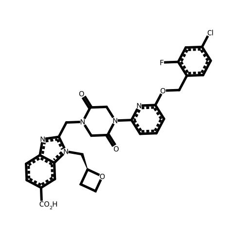 O=C(O)c1ccc2nc(CN3CC(=O)N(c4cccc(OCc5ccc(Cl)cc5F)n4)CC3=O)n(C[C@@H]3CCO3)c2c1